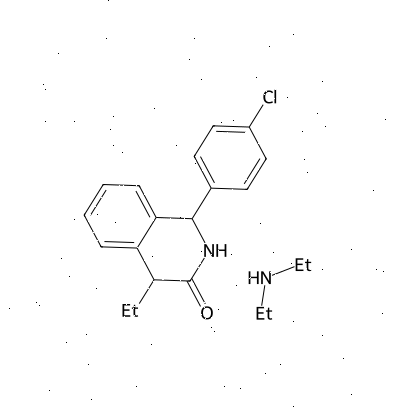 CCC1C(=O)NC(c2ccc(Cl)cc2)c2ccccc21.CCNCC